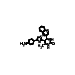 CC1=C(c2nc(-c3ccc(N)cc3)cs2)C(c2cnc3ccccc3n2)NC(=O)N1